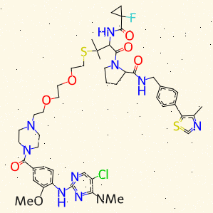 CNc1nc(Nc2ccc(C(=O)N3CCN(CCOCCOCCSC(C)(C)C(NC(=O)C4(F)CC4)C(=O)N4CCCC4C(=O)NCc4ccc(-c5scnc5C)cc4)CC3)cc2OC)ncc1Cl